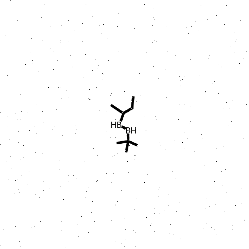 CCC(C)BBC(C)(C)C